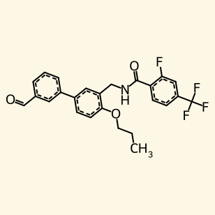 CCCOc1ccc(-c2cccc(C=O)c2)cc1CNC(=O)c1ccc(C(F)(F)F)cc1F